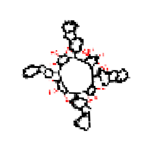 Oc1c2cc(c(O)c1O)C(c1ccc3c(c1)Cc1ccccc1-3)c1cc(c(O)c(O)c1O)C(c1ccc3c(c1)Cc1ccccc1-3)c1cc(c(O)c(O)c1O)C(c1ccc3c(c1)Cc1ccccc1-3)c1cc(c(O)c(O)c1O)C2c1ccc2c(c1)Cc1ccccc1-2